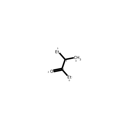 C[CH]C(=O)C(C)CC